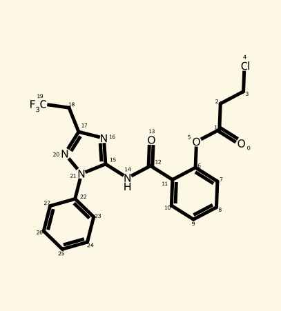 O=C(CCCl)Oc1ccccc1C(=O)Nc1nc(CC(F)(F)F)nn1-c1ccccc1